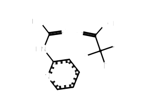 CC(=O)Nc1ccccn1.O=C(O)C(F)(F)F